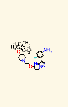 CC(C)(C)[Si](C)(C)OC1CCN(CCOc2ccn3ncc(-c4cc(N)ccc4F)c3n2)CC1